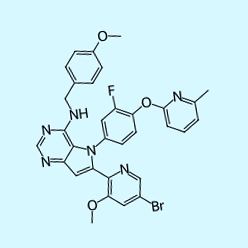 COc1ccc(CNc2ncnc3cc(-c4ncc(Br)cc4OC)n(-c4ccc(Oc5cccc(C)n5)c(F)c4)c23)cc1